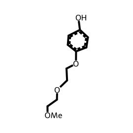 COCCOCCOc1ccc(O)cc1